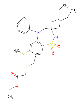 CCCCC1(CCCC)CN(c2ccccc2)c2cc(SC)c(CSCC(=O)OCC)cc2S(=O)(=O)N1